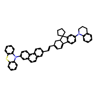 C1=C(/C=C/c2ccc3c(ccc4cc(N5c6ccccc6Sc6ccccc65)ccc43)c2)CC2C(=C1)c1ccc(N3CCCc4ccccc43)cc1C21CCCC1